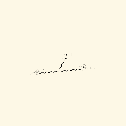 CCCCCCN(CCCC)S(=O)(=O)CCCCCCCCCN(CCCCCCCCCS(=O)(=O)N(CCCC)CCCCCC)CCCCNC(=S)N(C)C